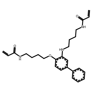 C=CC(=O)NCCCCNc1cc(-c2ccccc2)ccc1OCCCCNC(=O)C=C